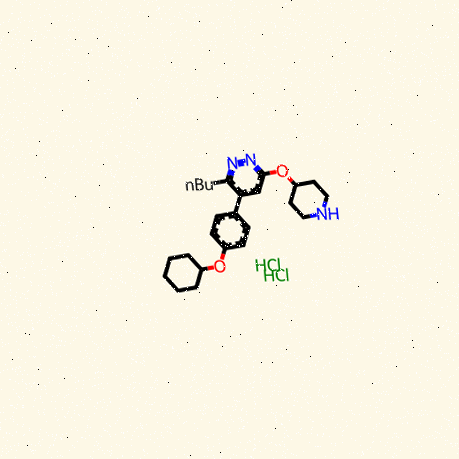 CCCCc1nnc(OC2CCNCC2)cc1-c1ccc(OC2CCCCC2)cc1.Cl.Cl